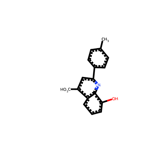 Cc1ccc(-c2cc(C(=O)O)c3cccc(O)c3n2)cc1